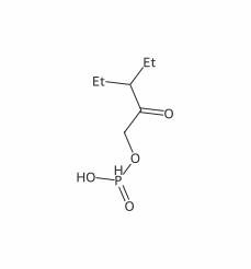 CCC(CC)C(=O)CO[PH](=O)O